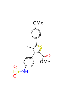 COC(=O)c1sc(-c2ccc(OC)cc2)c(C)c1-c1ccc(N[SH](=O)=O)cc1